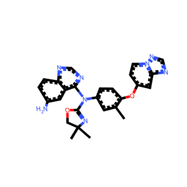 Cc1cc(N(C2=NC(C)(C)CO2)c2ncnc3ccc(N)cc23)ccc1Oc1ccn2ncnc2c1